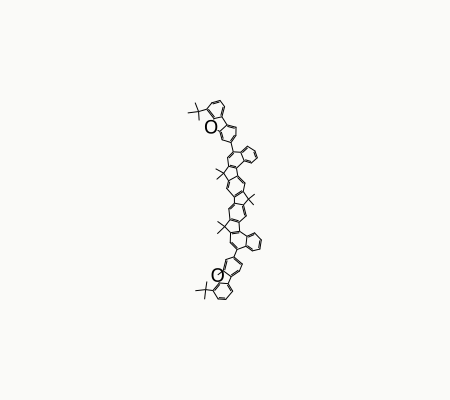 CC(C)(C)c1cccc2c1oc1cc(-c3cc4c(c5ccccc35)-c3cc5c(cc3C4(C)C)-c3cc4c(cc3C5(C)C)-c3c(cc(-c5ccc6c(c5)oc5c(C(C)(C)C)cccc56)c5ccccc35)C4(C)C)ccc12